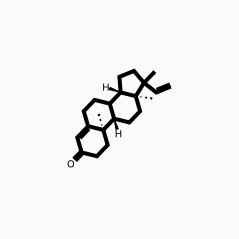 C=CC1(C)CC[C@H]2C3CCC4=CC(=O)CC[C@]4(C)[C@H]3CC[C@@]21C